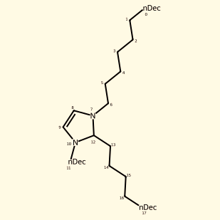 CCCCCCCCCCCCCCCCN1C=CN(CCCCCCCCCC)C1CCCCCCCCCCCCCC